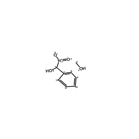 CO.O=[N+]([O-])C(O)c1ccccc1